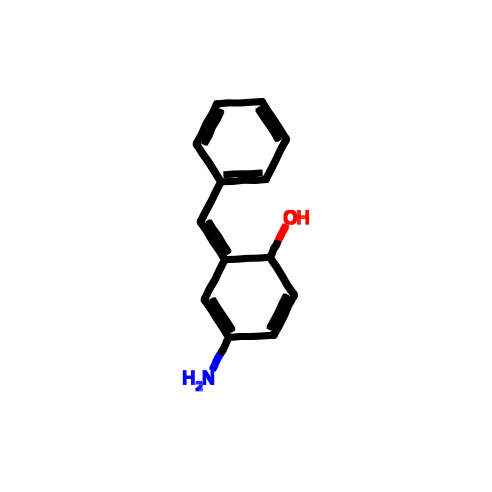 NC1=CC(=Cc2ccccc2)C(O)C=C1